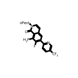 CCCCCn1ccc2cc(-c3ccc(C(F)(F)F)cn3)c(F)c(P)c2c1=O